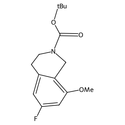 COc1cc(F)cc2c1CN(C(=O)OC(C)(C)C)CC2